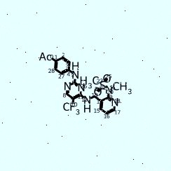 CC(=O)c1ccc(Nc2ncc(C(F)(F)F)c(NCc3cccnc3N(C)S(C)(=O)=O)n2)cc1